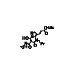 CC(C)Cn1c(=O)c(C(=O)NC2CC2)c(O)n2ncc(/C=C/C(=O)OC(C)(C)C)c12